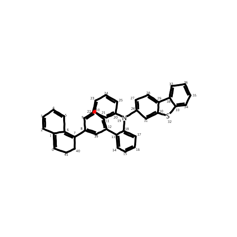 C1=c2ccccc2=C(c2cccc(-c3ccccc3N(c3ccccc3)c3ccc4c(c3)sc3ccccc34)c2)CC1